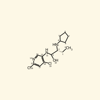 CC[C@@H](NC1CCCC1)C(O)Nc1cnc(Cl)cc1Cl